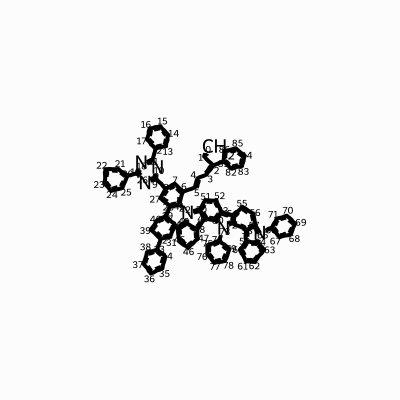 C=C/C(=C\C=C\c1cc(-c2nc(-c3ccccc3)nc(-c3ccccc3)n2)cc(-c2ccc(-c3ccccc3)cc2)c1-n1c2ccccc2c2c1ccc1c3ccc4c(c5ccccc5n4-c4ccccc4)c3n(-c3ccccc3)c12)c1ccccc1